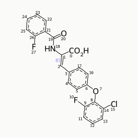 O=C(O)/C(=C\c1ccc(Oc2c(F)cccc2Cl)cc1)NC(=O)c1ccccc1F